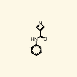 O=C(Nc1[c]cccc1)C1=CN=C1